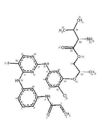 C=CC(=O)Nc1cccc(Nc2nc(Nc3ccc(Cl)c(O[C@@H](C)COC(=O)[C@@H](N)C(C)C)c3)ncc2F)c1